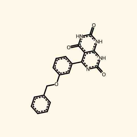 O=c1nc(-c2cccc(OCc3ccccc3)c2)c2c(=O)[nH]c(=O)[nH]c2[nH]1